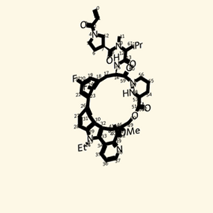 C=CC(=O)N1CC[C@H](C(=O)N(C)C(C(=O)N[C@H]2Cc3cc(F)cc(c3F)-c3ccc4c(c3)c(c(-c3cccnc3[C@H](C)OC)n4CC)CC(C)(C)COC(=O)[C@@H]3CCCN(N3)C2=O)C(C)C)C1